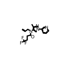 C=CCN(C(=O)CCC(F)(F)F)c1cn(-c2cccnc2)nc1C